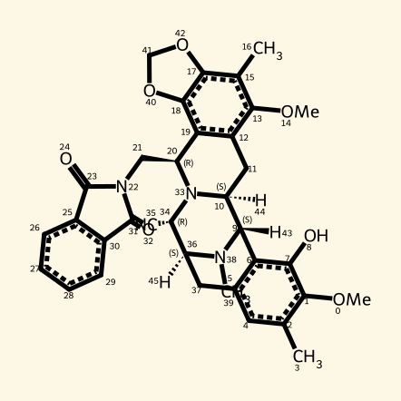 COc1c(C)cc2c(c1O)[C@H]1[C@@H]3Cc4c(OC)c(C)c5c(c4[C@H](CN4C(=O)c6ccccc6C4=O)N3[C@@H](C#N)[C@H](C2)N1C)OCO5